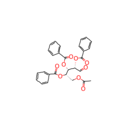 CC(=O)OC[C@H](OC(=O)c1ccccc1)[C@H](OC(=O)c1ccccc1)[C@@H](C=O)OC(=O)c1ccccc1